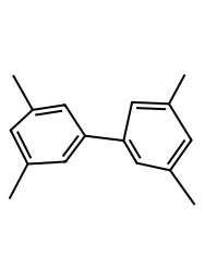 Cc1cc(C)cc(-c2cc(C)cc(C)c2)c1